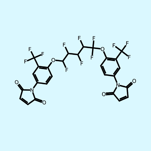 O=C1C=CC(=O)N1c1ccc(OC(F)C(F)C(F)C(F)C(F)(F)Oc2ccc(N3C(=O)C=CC3=O)cc2C(F)(F)F)c(C(F)(F)F)c1